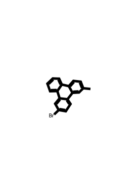 Cc1ccc2c3ccccc3c3cc(Br)ccc3c2c1